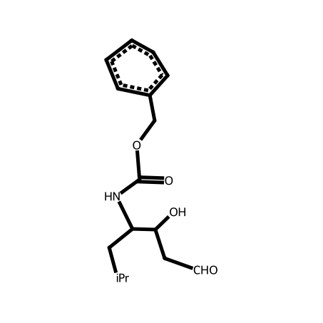 CC(C)CC(NC(=O)OCc1ccccc1)C(O)CC=O